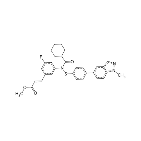 COC(=O)/C=C/c1cc(F)cc(N(Sc2ccc(-c3ccc4c(cnn4C)c3)cc2)C(=O)C2CCCCC2)c1